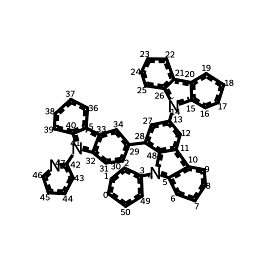 c1ccc(-n2c3ccccc3c3cc(-n4c5ccccc5c5ccccc54)cc(-c4ccc5c(c4)c4ccccc4n5-c4ccccn4)c32)cc1